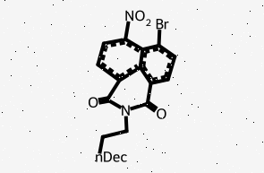 CCCCCCCCCCCCN1C(=O)c2ccc(Br)c3c([N+](=O)[O-])ccc(c23)C1=O